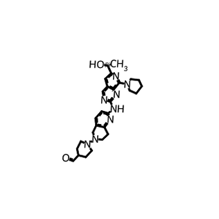 C[C@@H](O)c1cc2cnc(Nc3ccc4c(n3)CCN(N3CCC(C=O)CC3)C4)nc2c(N2CCCCC2)n1